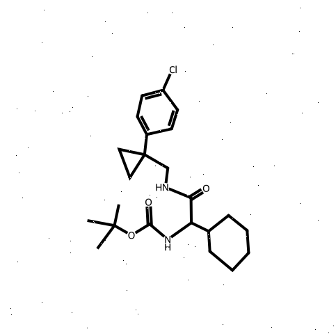 CC(C)(C)OC(=O)NC(C(=O)NCC1(c2ccc(Cl)cc2)CC1)C1CCCCC1